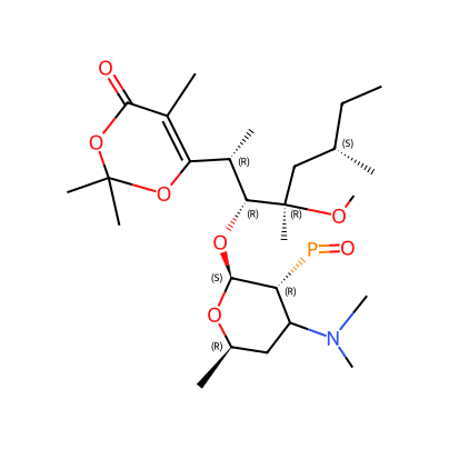 CC[C@H](C)C[C@@](C)(OC)[C@H](O[C@@H]1O[C@H](C)CC(N(C)C)[C@H]1P=O)[C@@H](C)C1=C(C)C(=O)OC(C)(C)O1